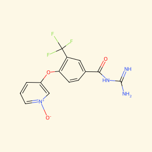 N=C(N)NC(=O)c1ccc(Oc2ccc[n+]([O-])c2)c(C(F)(F)F)c1